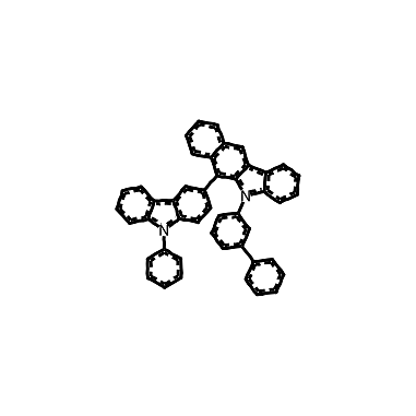 c1ccc(-c2cccc(-n3c4ccccc4c4cc5ccccc5c(-c5ccc6c(c5)c5ccccc5n6-c5ccccc5)c43)c2)cc1